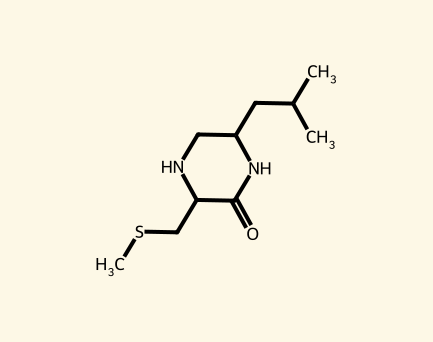 CSCC1NCC(CC(C)C)NC1=O